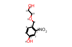 O=[N+]([O-])c1cc(O)ccc1COCCO